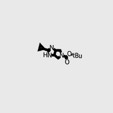 CC(C)(C)OC(=O)N1CC2N=C(C3CC3)NC2C1